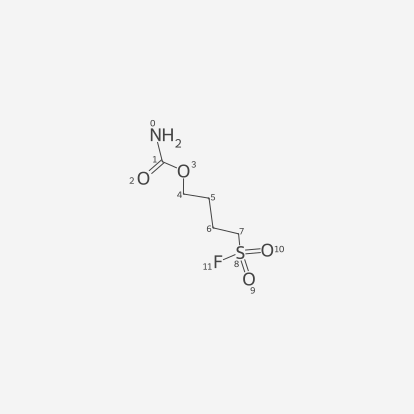 NC(=O)OCCCCS(=O)(=O)F